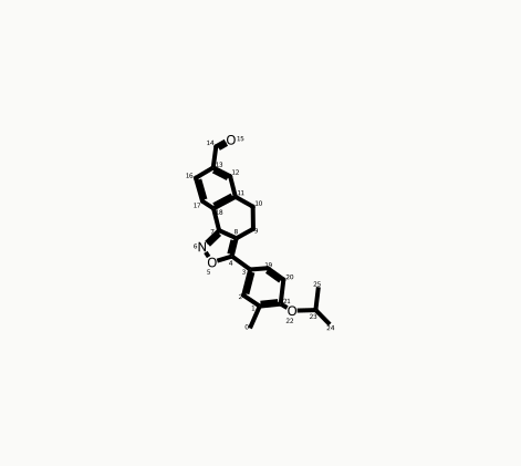 Cc1cc(-c2onc3c2CCc2cc(C=O)ccc2-3)ccc1OC(C)C